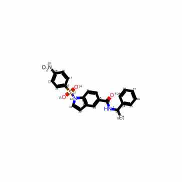 CCC(NC(=O)c1ccc2c(ccn2S(=O)(=O)c2ccc([N+](=O)[O-])cc2)c1)c1ccccc1